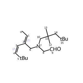 C/C=C(\C=C/C(C)(C)C)CN(CC=O)CC(C)(C)CC(C)(C)C